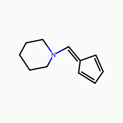 C1=CC(=CN2CCCCC2)C=C1